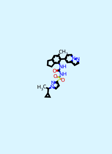 Cc1cc2c(c(NC(=O)NS(=O)(=O)c3ccn(C(C)C4CC4)n3)c1-c1ccn3nccc3c1)CCC2